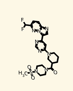 CS(=O)(=O)N1CCN(C(=O)C2CCCN(c3cc(-c4cnc5ccc(C(F)F)nn45)ncn3)C2)CC1